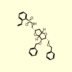 C=Cc1ccccc1S(=O)(=O)NC[C@@H]1C[C@@H]2O[C@H](COCc3ccccc3)[C@@H](OCc3ccccc3)[C@@H]2O1